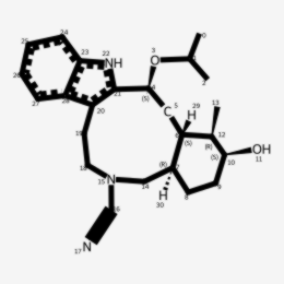 CC(C)O[C@H]1C[C@H]2[C@@H](CC[C@H](O)[C@@H]2C)CN(C#N)CCc2c1[nH]c1ccccc21